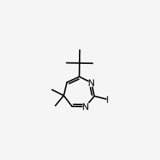 CC1(C)C=NC(I)=NC(C(C)(C)C)=C1